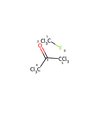 FC(Cl)(Cl)Cl.O=C(C(Cl)(Cl)Cl)C(Cl)(Cl)Cl